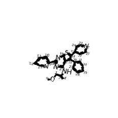 COCC(C)Nc1nc(-c2ccccn2)nc2sc(-c3ccncc3)c(-c3ccccc3)c12